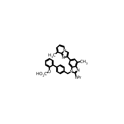 CCCc1nc2c(C)cc(-c3cn4cccc(C)c4n3)cc2n1Cc1ccc(-c2ccccc2OC(=O)O)cc1